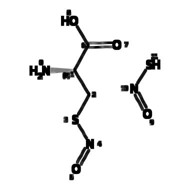 N[C@@H](CSN=O)C(=O)O.O=NS